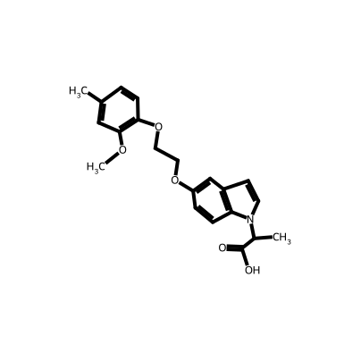 COc1cc(C)ccc1OCCOc1ccc2c(ccn2C(C)C(=O)O)c1